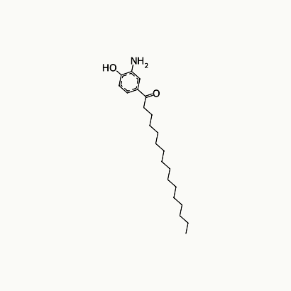 CCCCCCCCCCCCCCCC(=O)c1ccc(O)c(N)c1